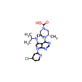 CC(C)N(C)c1cn(-c2cc(Cl)ccn2)c2ncnc(N3CCN(C(=O)O)C[C@@H]3C)c12